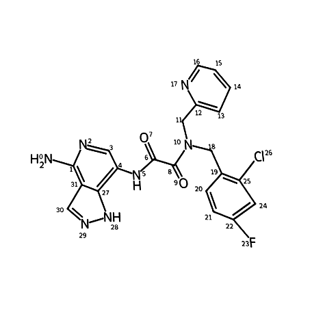 Nc1ncc(NC(=O)C(=O)N(Cc2ccccn2)Cc2ccc(F)cc2Cl)c2[nH]ncc12